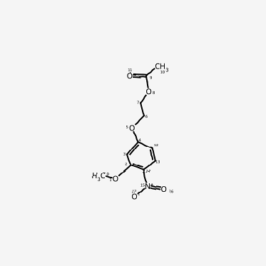 COc1cc(OCCOC(C)=O)ccc1[N+](=O)[O-]